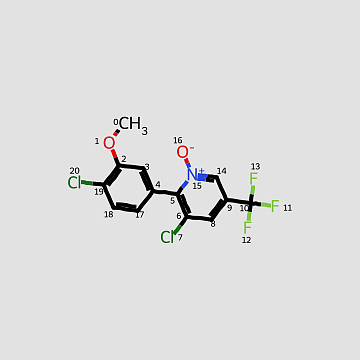 COc1cc(-c2c(Cl)cc(C(F)(F)F)c[n+]2[O-])ccc1Cl